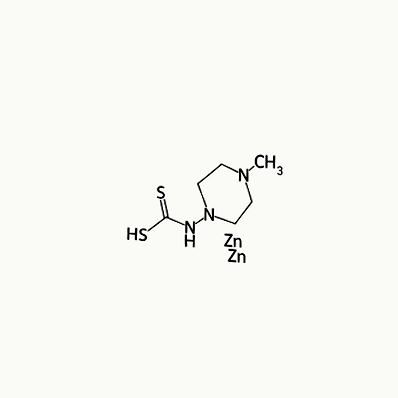 CN1CCN(NC(=S)S)CC1.[Zn].[Zn]